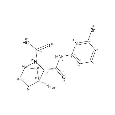 O=C(Nc1cccc(Br)n1)[C@@H]1[C@H]2CCC(C2)N1C(=O)O